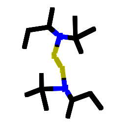 CCC(C)N(SSN(C(C)CC)C(C)(C)C)C(C)(C)C